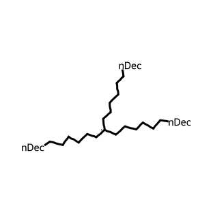 CCCCCCCCCCCCCCCC[C](CCCCCCCCCCCCCCCC)CCCCCCCCCCCCCCCC